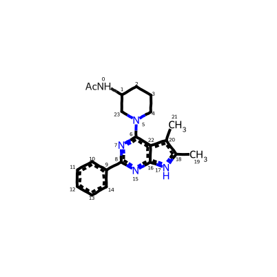 CC(=O)NC1CCCN(c2nc(-c3ccccc3)nc3[nH]c(C)c(C)c23)C1